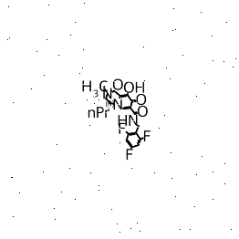 CCC[C@@H]1CN(C)C(=O)c2c(O)c(=O)c(C(=O)NCc3c(F)cc(F)cc3F)cn21